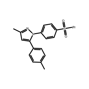 Cc1ccc(-c2cc(C)nn2-c2ccc(S(=O)(=O)C(C)C)cc2)cc1